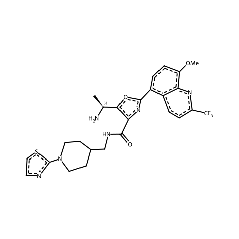 COc1ccc(-c2nc(C(=O)NCC3CCN(c4nccs4)CC3)c([C@H](C)N)o2)c2ccc(C(F)(F)F)nc12